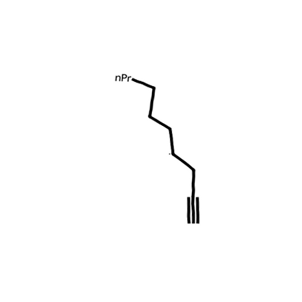 C#CC[CH]CCCCCC